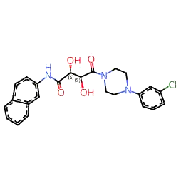 O=C(Nc1ccc2ccccc2c1)[C@@H](O)[C@H](O)C(=O)N1CCN(c2cccc(Cl)c2)CC1